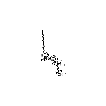 CCCCCCCCCCCCCC(=O)N[C@H](C(=O)N[C@H](CCC(=O)N[C@H](CSC[C@H](N)C(=O)O)C(=O)O)C(=O)O)C(C)CC